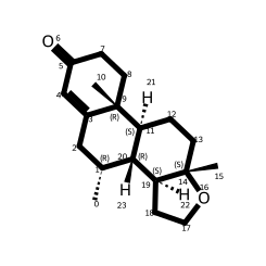 C[C@@H]1CC2=CC(=O)CC[C@]2(C)[C@H]2CC[C@]3(C)OCC[C@H]3[C@H]12